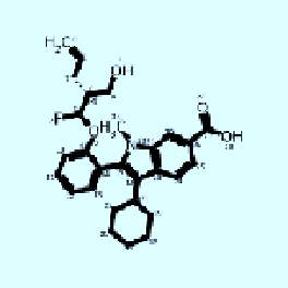 C=CC[C@H](CO)C(F)Oc1ccccc1-c1c(C2CCCCC2)c2ccc(C(=O)O)cc2n1C